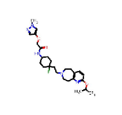 CC(Oc1ccc2c(n1)CCN(CCC1(F)CCC(NC(=O)COc3cnn(C)c3)CC1)CC2)C(F)(F)F